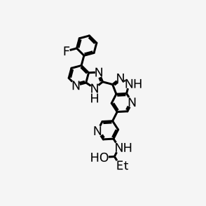 CCC(O)Nc1cncc(-c2cnc3[nH]nc(-c4nc5c(-c6ccccc6F)ccnc5[nH]4)c3c2)c1